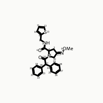 CO/N=C1\CC(C(=O)NCc2cccs2)N(C(=O)C(c2ccccc2)c2ccccc2)C1